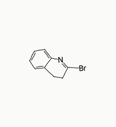 BrC1=Nc2ccccc2CC1